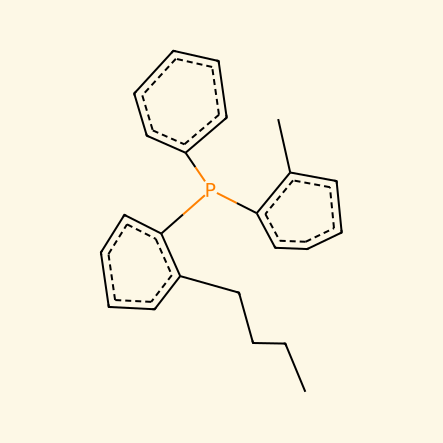 CCCCc1ccccc1P(c1ccccc1)c1ccccc1C